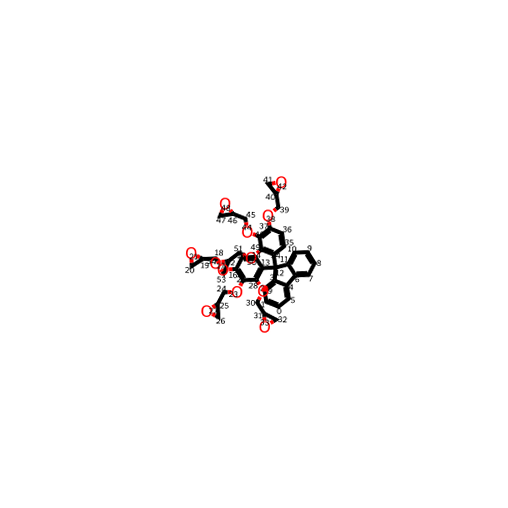 c1ccc2c(c1)-c1ccccc1C2(c1ccc(OCC2CO2)c(OCC2CO2)c1OCC1CO1)c1ccc(OCC2CO2)c(OCC2CO2)c1OCC1CO1